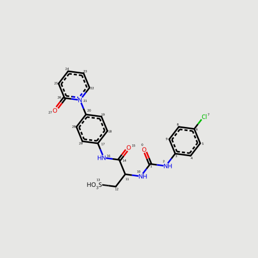 O=C(Nc1ccc(Cl)cc1)NC(CS(=O)(=O)O)C(=O)Nc1ccc(-n2ccccc2=O)cc1